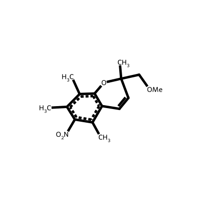 COCC1(C)C=Cc2c(C)c([N+](=O)[O-])c(C)c(C)c2O1